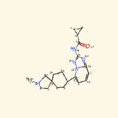 CN1CCC2(CCC(c3cccc4nc(NC(=O)C5CC5)nn34)CC2)C1